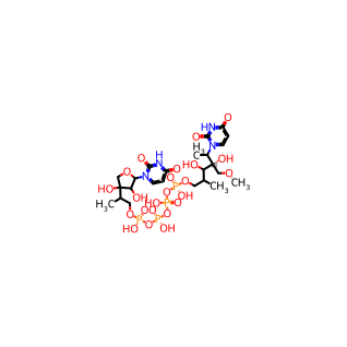 COC[C@@](O)(C(O)C(C)COP(=O)(O)OP(=O)(O)OP(=O)(O)OP(=O)(O)OCC(C)C1(O)COC(n2ccc(=O)[nH]c2=O)C1O)C(C)n1ccc(=O)[nH]c1=O